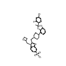 CCS(=O)(=O)c1ccc2c(c1)nc(CN1CCC(c3cccc4c3OC(C)(c3ccc(Cl)cc3F)O4)CC1)n2CC1CCO1